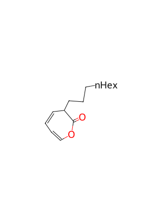 CCCCCCCCCC1C=CC=COC1=O